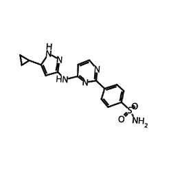 NS(=O)(=O)c1ccc(-c2nccc(Nc3cc(C4CC4)[nH]n3)n2)cc1